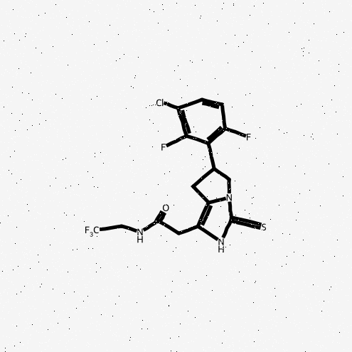 O=C(Cc1[nH]c(=S)n2c1CC(c1c(F)ccc(Cl)c1F)C2)NCC(F)(F)F